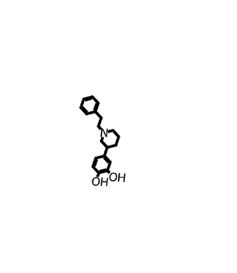 Oc1ccc(C2CCCN(CCc3ccccc3)C2)cc1O